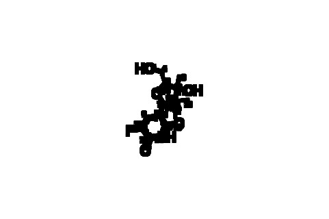 C[C@]1(O)[C@@H](CO)O[C@H](n2cc(F)c(=O)[nH]c2=O)[C@@]1(C)F